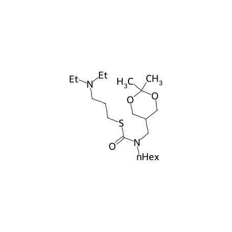 CCCCCCN(CC1COC(C)(C)OC1)C(=O)SCCCN(CC)CC